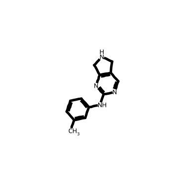 Cc1cccc(Nc2ncc3c(n2)CNC3)c1